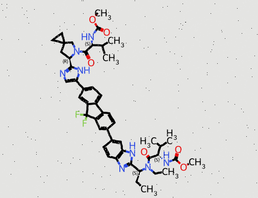 CC[C@@H](c1nc2ccc(-c3ccc4c(c3)C(F)(F)c3cc(-c5cnc([C@H]6CC7(CC7)CN6C(=O)[C@@H](NC(=O)OC)C(C)C)[nH]5)ccc3-4)cc2[nH]1)N(CC)C(=O)[C@@H](NC(=O)OC)C(C)C